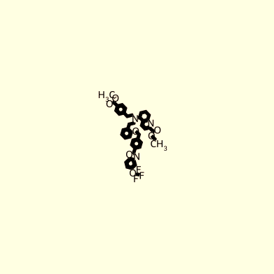 CCOC(=O)c1ccc2c(n1)CCCC2N(CCc1ccc(C(=O)OC)cc1)CCc1ccccc1OCc1ccc(-c2nc3cc(OC(F)(F)F)ccc3o2)cc1